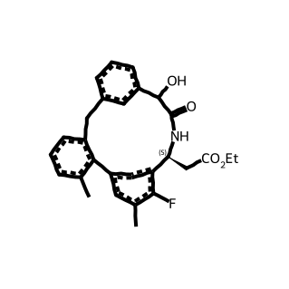 CCOC(=O)C[C@@H]1NC(=O)C(O)c2cccc(c2)Cc2cccc(C)c2-c2cc(C)c(F)c1c2